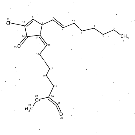 CCCCCCC=CC1C=C(Cl)C(=O)C1=CCCCCC(=C=O)OC